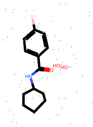 [B+2]c1ccc(C(=O)NC2CCCCC2)cc1.[OH-].[OH-]